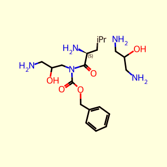 CC(C)C[C@H](N)C(=O)N(CC(O)CN)C(=O)OCc1ccccc1.NCC(O)CN